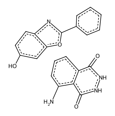 Nc1cccc2c(=O)[nH][nH]c(=O)c12.Oc1ccc2nc(-c3ccccc3)oc2c1